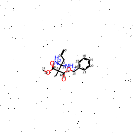 C=CCC(N)(N)C(C)(C(=O)OC)C(=O)OCc1ccccc1